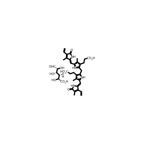 C=CC1=C(C)/C(=C/c2[nH]c(Cc3[nH]c(/C=C4\NC(=O)C(C)=C4C=C)c(C)c3CCC(=O)O)c(CCC(=O)O)c2C)NC1=O.O=C[C@H](O)[C@@H](O)[C@H](O)[C@H](O)C(=O)O